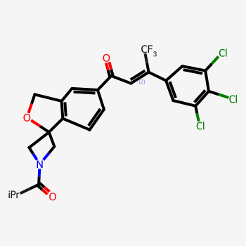 CC(C)C(=O)N1CC2(C1)OCc1cc(C(=O)/C=C(/c3cc(Cl)c(Cl)c(Cl)c3)C(F)(F)F)ccc12